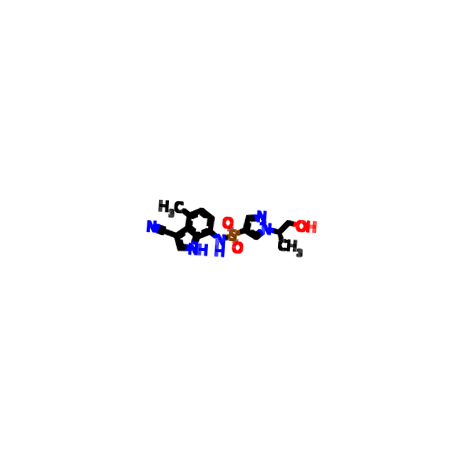 Cc1ccc(NS(=O)(=O)c2cnn([C@H](C)CO)c2)c2[nH]cc(C#N)c12